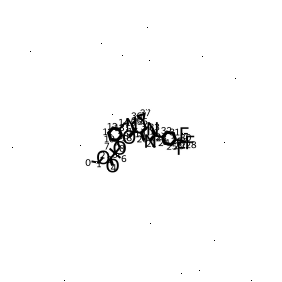 CCOC(=O)C(C)(C)Oc1cccc(CN(C)C(=O)c2cnc(-c3ccc(C(F)(F)F)cc3)nc2C2CC2)c1